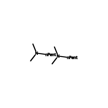 CCCCCN(C)C.CCCCCN(C)C